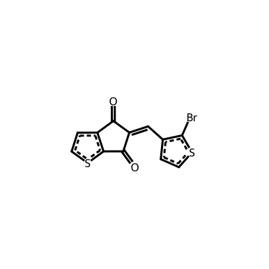 O=C1/C(=C/c2ccsc2Br)C(=O)c2sccc21